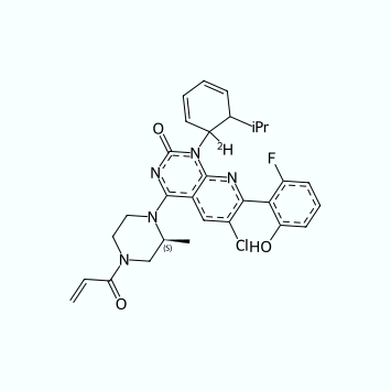 [2H]C1(n2c(=O)nc(N3CCN(C(=O)C=C)C[C@@H]3C)c3cc(Cl)c(-c4c(O)cccc4F)nc32)C=CC=CC1C(C)C